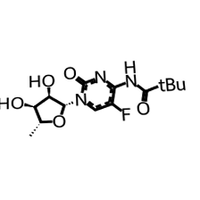 C[C@H]1O[C@@H](n2cc(F)c(NC(=O)C(C)(C)C)nc2=O)[C@H](O)[C@@H]1O